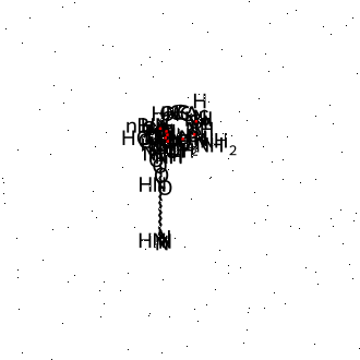 CCCC[C@H](NC(=O)[C@H](CO)NC(=O)[C@H](Cc1c[nH]cn1)NC(=O)[C@H](CCC(N)=O)NC(=O)[C@H](CO)NC(=O)CNC(=O)COCCOCCNC(=O)CCCCCCCCCCCCCCCc1nnn[nH]1)C(=O)N[C@H]1CCC(=O)NCCCC[C@@H](C(C)=O)NC(=O)[C@H](Cc2c[nH]c3ccccc23)NC(=O)[C@H](CCCNC(=N)N)NC(=O)[C@@H](Cc2ccccc2)NC(=O)[C@H](CN)NC1=O